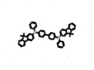 CC1(C)c2ccccc2-c2ccc(N(C3=CC=C(c4ccc(N(c5ccccc5)c5ccc6c(c5)C(C)(C)c5ccccc5-6)cc4)CC3)c3ccccc3)cc21